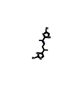 C/C(=C\CC(C)c1cnc(C(C)C)[nH]1)c1nc(C(C)C)c[nH]1